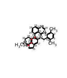 Cc1ccc(C)c(CN(c2ccc3[nH]ccc3c2)c2ncnc3cccc(OC4CCN(C)CC4)c23)c1